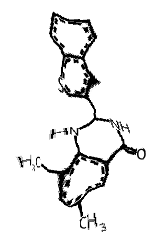 Cc1cc(C)c2c(c1)C(=O)NC(c1cc3ccccc3s1)N2